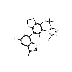 Cc1c[nH]c2c(-c3c(F)c4c(c5c3OCC5)NC(C)(C)c3nnc(C)n3-4)cc(F)cc12